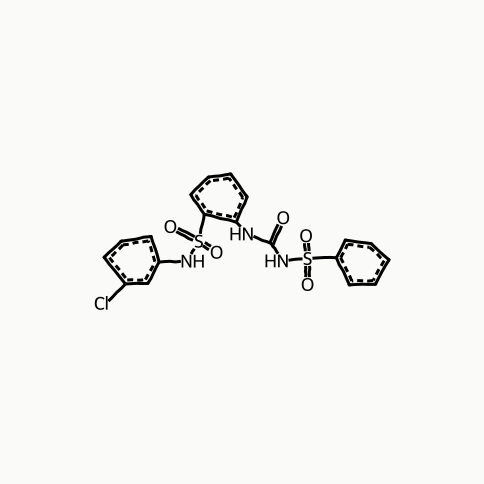 O=C(Nc1ccccc1S(=O)(=O)Nc1cccc(Cl)c1)NS(=O)(=O)c1ccccc1